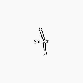 [O]=[Sb]=[O].[Sn]